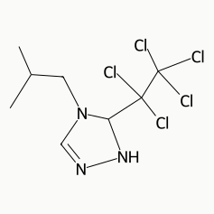 CC(C)CN1C=NNC1C(Cl)(Cl)C(Cl)(Cl)Cl